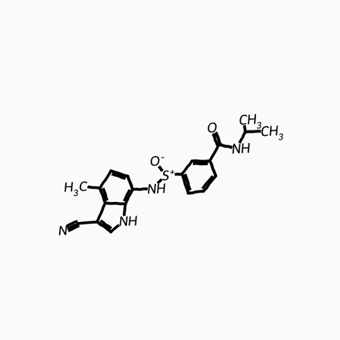 Cc1ccc(N[S+]([O-])c2cccc(C(=O)NC(C)C)c2)c2[nH]cc(C#N)c12